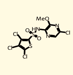 COc1nc(Cl)cnc1NS(=O)(=O)c1sc(Cl)c(Cl)c1Cl